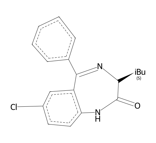 CC[C@H](C)C1N=C(c2ccccc2)c2cc(Cl)ccc2NC1=O